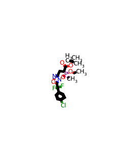 CCOP(C)(=O)C(Cc1noc(C(F)(F)c2ccc(Cl)cc2)n1)C(=O)OC(C)(C)C